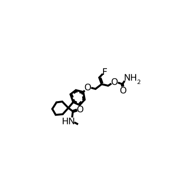 CNC(=O)C1(c2ccc(OCC(=CF)COC(N)=O)cc2)CCCCC1